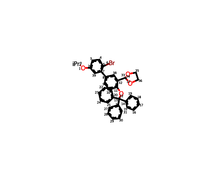 CC(C)Oc1ccc(Br)c(-c2ccc(OC(c3ccccc3)(c3ccccc3)c3ccccc3)c(C3OCCO3)c2)c1